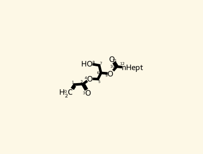 C=CC(=O)OCC(CO)OC(=O)CCCCCCC